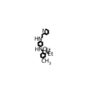 CCN(CC)c1cc(C)ccc1C(=O)Nc1ccc(NCCc2ccccn2)cc1